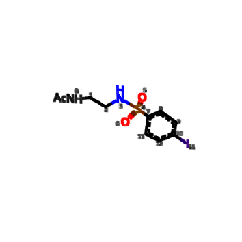 CC(=O)NCCNS(=O)(=O)c1ccc(I)cc1